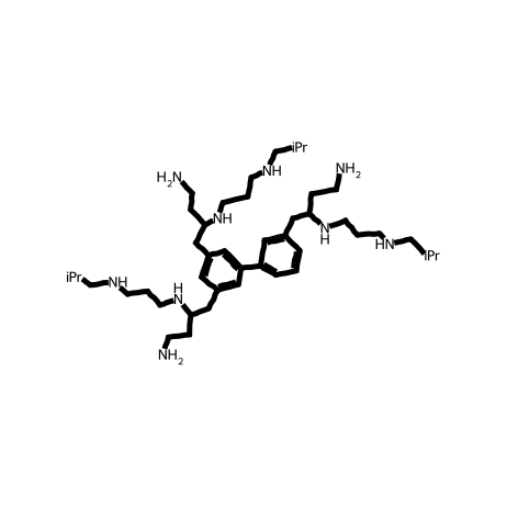 CC(C)CNCCCNC(CCN)Cc1cccc(-c2cc(CC(CCN)NCCCNCC(C)C)cc(CC(CCN)NCCCNCC(C)C)c2)c1